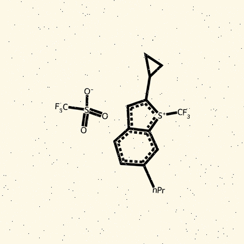 CCCc1ccc2cc(C3CC3)[s+](C(F)(F)F)c2c1.O=S(=O)([O-])C(F)(F)F